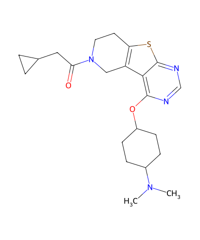 CN(C)C1CCC(Oc2ncnc3sc4c(c23)CN(C(=O)CC2CC2)CC4)CC1